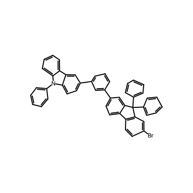 Brc1ccc2c(c1)C(c1ccccc1)(c1ccccc1)c1cc(-c3cccc(-c4ccc5c(c4)c4ccccc4n5-c4ccccc4)c3)ccc1-2